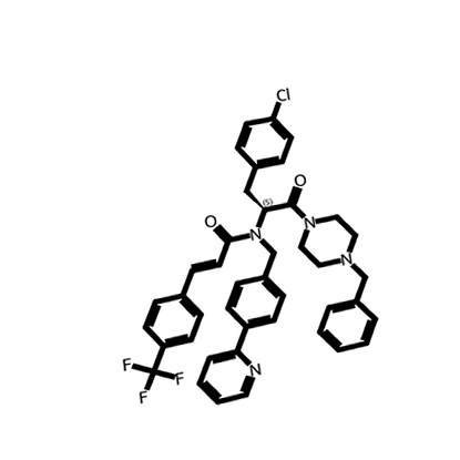 O=C([C@H](Cc1ccc(Cl)cc1)N(Cc1ccc(-c2ccccn2)cc1)C(=O)C=Cc1ccc(C(F)(F)F)cc1)N1CCN(Cc2ccccc2)CC1